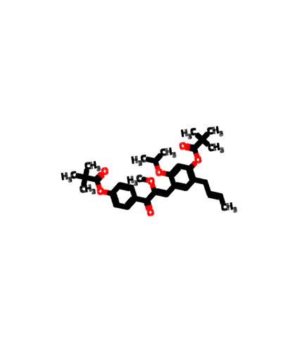 CC=CCc1cc(C=C(OC)C(=O)c2ccc(OC(=O)C(C)(C)C)cc2)c(OC(C)C)cc1OC(=O)C(C)(C)C